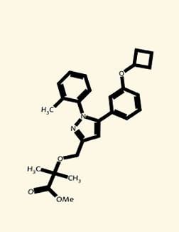 COC(=O)C(C)(C)OCc1cc(-c2cccc(OC3CCC3)c2)n(-c2ccccc2C)n1